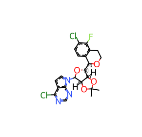 CC1(C)O[C@@H]2[C@@H]([C@@H]3OCCc4c3ccc(Cl)c4F)OC(n3ccc4c(Cl)ncnc43)[C@@H]2O1